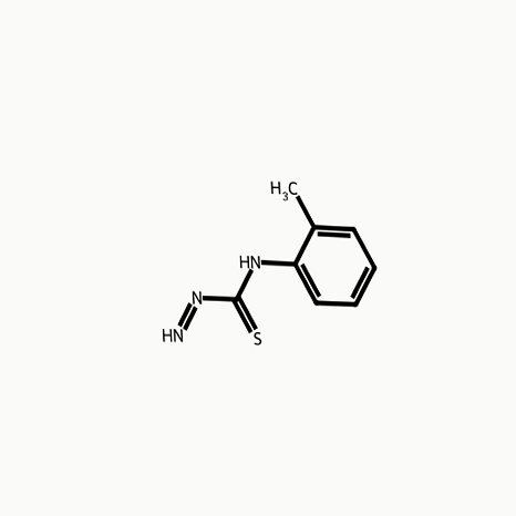 Cc1ccccc1NC(=S)N=N